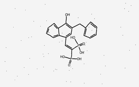 O=P(O)(O)C(=Cc1cc(Cc2ccccc2)c(O)c2ccccc12)P(=O)(O)O